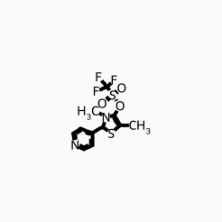 CC1=C(OS(=O)(=O)C(F)(F)F)N(C)C(c2ccncc2)S1